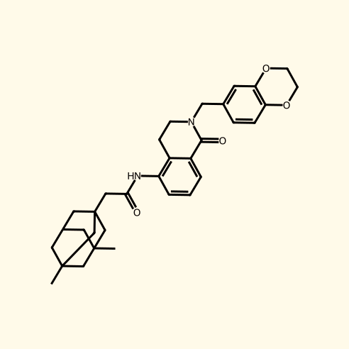 CC12CC3CC(C)(C1)CC(CC(=O)Nc1cccc4c1CCN(Cc1ccc5c(c1)OCCO5)C4=O)(C3)C2